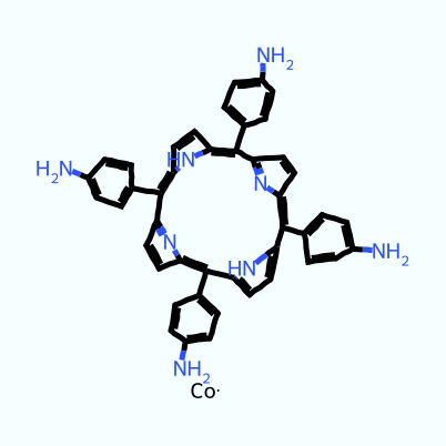 Nc1ccc(-c2c3nc(c(-c4ccc(N)cc4)c4ccc([nH]4)c(-c4ccc(N)cc4)c4nc(c(-c5ccc(N)cc5)c5ccc2[nH]5)C=C4)C=C3)cc1.[Co]